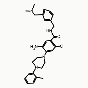 Cc1ccccc1N1CCN(c2cc(Cl)c(C(=O)NCc3cccc(CN(C)C)c3)cc2N)CC1